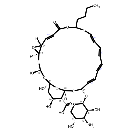 CCCCC1C/C=C/C=C/C=C/C=C/[C@H](O[C@@H]2OC[C@@H](O)[C@H](N)[C@@H]2O)C[C@@H]2O[C@](O)(C[C@@H](O)C[C@H]3O[C@@H]3/C=C/C(=O)O1)C[C@H](O)[C@H]2C(=O)O